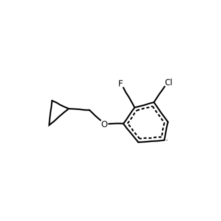 Fc1c(Cl)c[c]cc1OCC1CC1